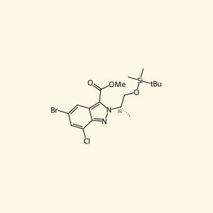 COC(=O)c1c2cc(Br)cc(Cl)c2nn1[C@@H](C)CO[Si](C)(C)C(C)(C)C